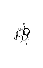 C[C@H](N)C(=O)O[C@@H](C)[C@@H](C)Oc1ccc(F)cc1